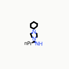 CCCC(=N)N1CCN(C2CCCCC2)CC1